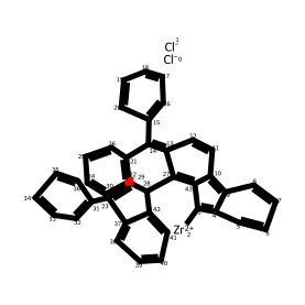 [Cl-].[Cl-].[Zr+2][C]1=c2ccccc2=c2ccc(=C(c3ccccc3)c3ccccc3)c(C3C=C(c4ccccc4)c4ccccc43)c21